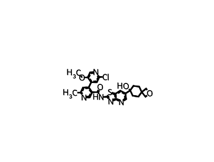 COc1cnc(Cl)cc1-c1cc(C)ncc1C(=O)Nc1nc2ncc(C3(O)CCC4(CC3)COC4)cc2s1